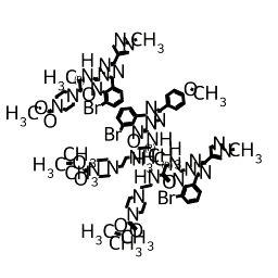 COC(=O)N1CCN(C(=O)[C@@H](C)Nc2nc3c(Br)cccc3c3nc(-c4cnn(C)c4)nn23)CC1.COc1ccc(-c2nc3c4cccc(Br)c4nc(N[C@H](C)C(=O)NCCN4CCN(C(=O)OC(C)(C)C)CC4)n3n2)cc1.C[C@@H](Nc1nc2c(Br)cccc2c2nc(-c3cnn(C)c3)nn12)C(=O)NCCN1CCN(C(=O)OC(C)(C)C)CC1